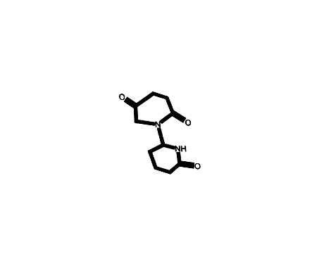 O=C1CCC(=O)N(C2CCCC(=O)N2)C1